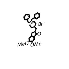 COc1cc2c(cc1OC)C(=O)C(CC1CC[N+](Cc3ccccc3)(Cc3ccccc3)CC1)C2.[Br-]